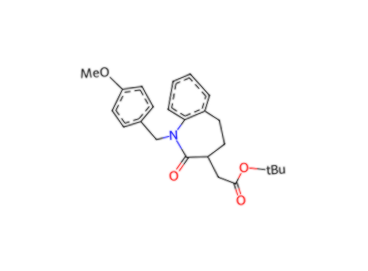 COc1ccc(CN2C(=O)C(CC(=O)OC(C)(C)C)CCc3ccccc32)cc1